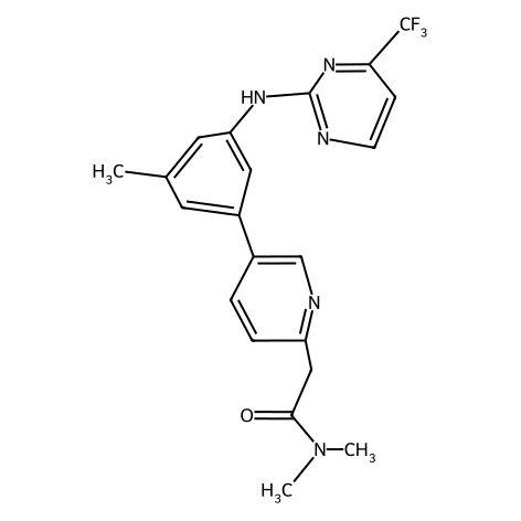 Cc1cc(Nc2nccc(C(F)(F)F)n2)cc(-c2ccc(CC(=O)N(C)C)nc2)c1